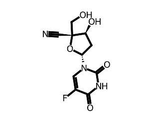 N#C[C@]1(CO)O[C@@H](n2cc(F)c(=O)[nH]c2=O)C[C@@H]1O